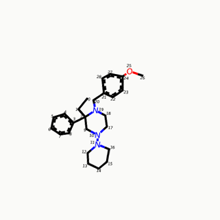 CCC1(c2ccccc2)CN(N2CCCCC2)CCN1Cc1ccc(OC)cc1